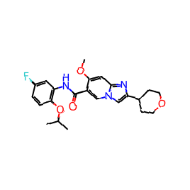 COc1cc2nc(C3CCOCC3)cn2cc1C(=O)Nc1cc(F)ccc1OC(C)C